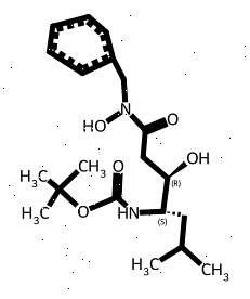 CC(C)C[C@H](NC(=O)OC(C)(C)C)[C@H](O)CC(=O)N(O)Cc1ccccc1